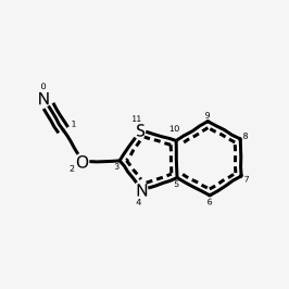 N#COc1nc2ccccc2s1